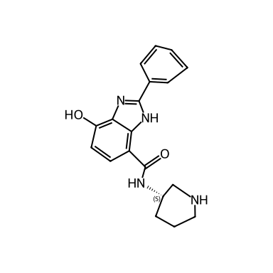 O=C(N[C@H]1CCCNC1)c1ccc(O)c2nc(-c3ccccc3)[nH]c12